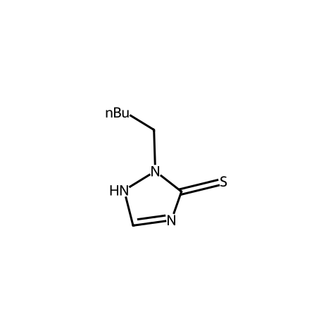 CCCCCn1[nH]cnc1=S